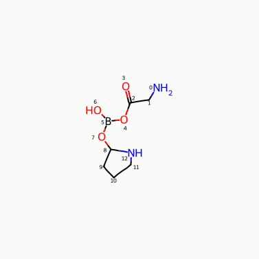 NCC(=O)OB(O)OC1CCCN1